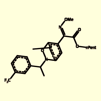 CCCCCOC(=O)C(=NOC)c1cc2cc(C)c1ON2C(C)c1cccc(C(F)(F)F)c1